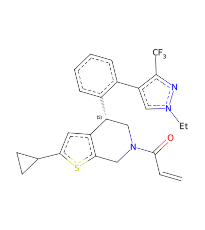 C=CC(=O)N1Cc2sc(C3CC3)cc2[C@H](c2ccccc2-c2cn(CC)nc2C(F)(F)F)C1